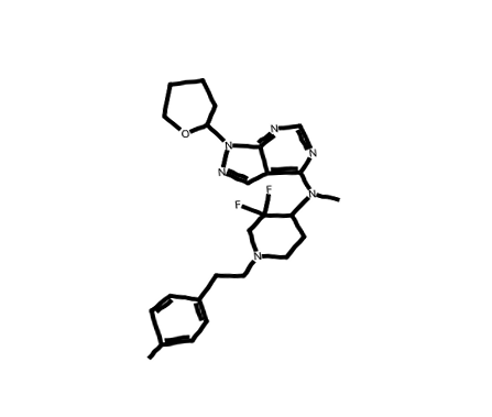 Cc1ccc(CCN2CCC(N(C)c3ncnc4c3cnn4C3CCCCO3)C(F)(F)C2)cc1